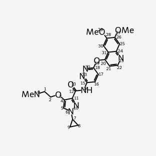 CNCCOc1cn(C2CC2)nc1C(=O)Nc1ccc(Oc2ccnc3cc(OC)c(OC)cc23)nn1